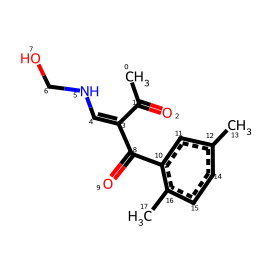 CC(=O)/C(=C\NCO)C(=O)c1cc(C)ccc1C